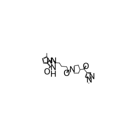 Cc1ccc2c(=O)[nH]c(CCCC(=O)N3CCC(C(=O)c4cnn(C)c4)CC3)nn12